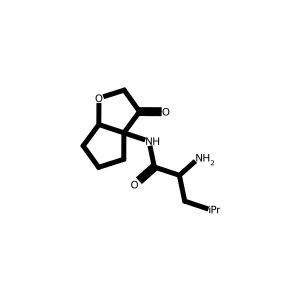 CC(C)CC(N)C(=O)NC12CCCC1OCC2=O